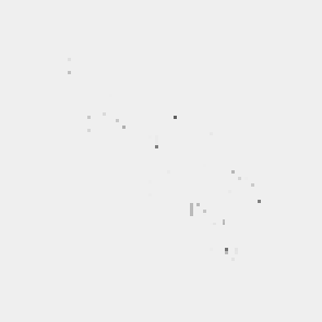 COCC(=O)NC(C1=Cc2cccnc2C(N2CCN(C(=O)O[C@H]3CCOC3)CC2)c2ccc(Cl)cc21)c1cncn1C